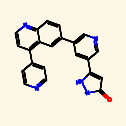 O=C1C=C(c2cncc(-c3ccc4nccc(-c5ccncc5)c4c3)c2)N[N]1